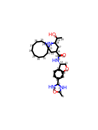 CC1NC(c2ccc3c(c2)OC[C@H]3NC(=O)C2CC(C(C)O)NC3(CCCCCCCCC3)C2)NO1